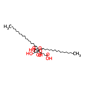 CCCCCCCCCCCCCCCCC=CO[C@@](C=CCCCCCCCCCCCCCCCC)(C(C)=O)[C@@H](OC(=O)CCC(=O)O)[C@H](O)[C@H](O)CO